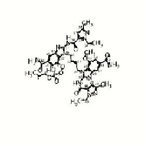 CCCOP(=O)(O)OOc1cc(C(N)=O)cc2nc(NC(=O)c3cc(C)nn3CC)n(CC=CCn3c(NC(=O)c4cc(C)nn4CC)nc4cc(C(N)=O)cc(OC)c43)c12